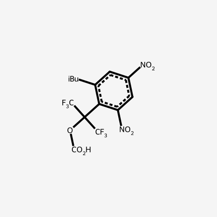 CCC(C)c1cc([N+](=O)[O-])cc([N+](=O)[O-])c1C(OC(=O)O)(C(F)(F)F)C(F)(F)F